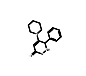 O=C1C=C(N2CCCCC2)C(c2ccccc2)N[N]1